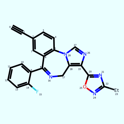 C#Cc1ccc2c(c1)C(c1ccccc1F)=NCc1c(-c3nc(CC)no3)ncn1-2